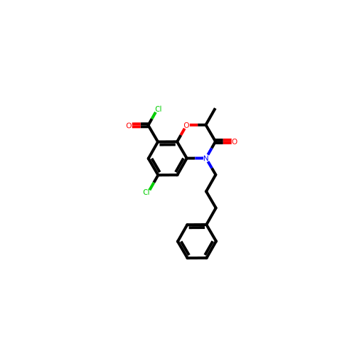 CC1Oc2c(C(=O)Cl)cc(Cl)cc2N(CCCc2ccccc2)C1=O